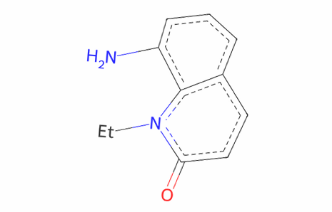 CCn1c(=O)ccc2cccc(N)c21